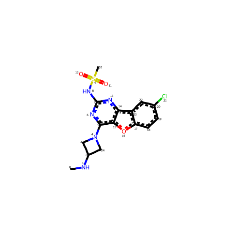 CNC1CN(c2nc(NS(C)(=O)=O)nc3c2oc2ccc(Cl)cc23)C1